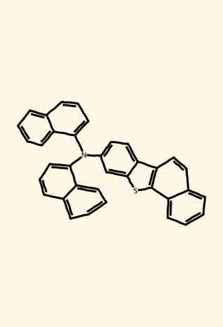 c1ccc2c(N(c3ccc4c(c3)sc3c5ccccc5ccc43)c3cccc4ccccc34)cccc2c1